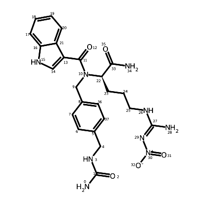 NC(=O)NCc1ccc(CN(C(=O)c2c[nH]c3ccccc23)[C@H](CCCNC(N)=N[N+](=O)[O-])C(N)=O)cc1